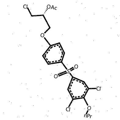 [CH2][CH]COc1c(Cl)cc(S(=O)(=O)c2ccc(OC[C@H](CCl)OC(C)=O)cc2)cc1Cl